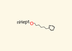 [CH2]CCCCCCOCCCCCCc1ccccc1